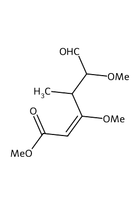 COC(=O)C=C(OC)C(C)C(C=O)OC